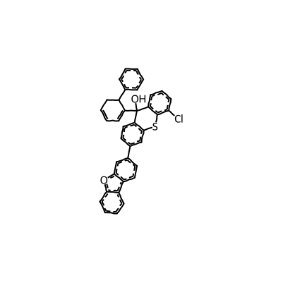 OC1(C2=CC=CCC2c2ccccc2)c2ccc(-c3ccc4c(c3)oc3ccccc34)cc2Sc2c(Cl)cccc21